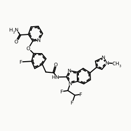 Cn1cc(-c2ccc3c(c2)nc(NC(=O)Cc2ccc(Oc4ncccc4C(N)=O)c(F)c2)n3C(F)C(F)F)cn1